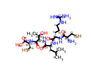 CC(C)C[C@H](NC(=O)[C@H](CCCNC(=N)N)NC(=O)[C@@H](N)CS)C(=O)N[C@H](C(=O)N[C@@H](CS)C(=O)O)[C@@H](C)O